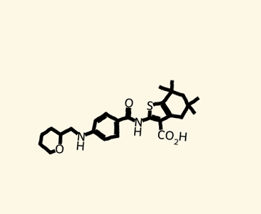 CC1(C)Cc2c(sc(NC(=O)c3ccc(NCC4CCCCO4)cc3)c2C(=O)O)C(C)(C)C1